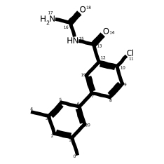 Cc1cc(C)cc(-c2ccc(Cl)c(C(=O)NC(N)=O)c2)c1